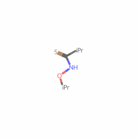 CC(C)ONC(=S)C(C)C